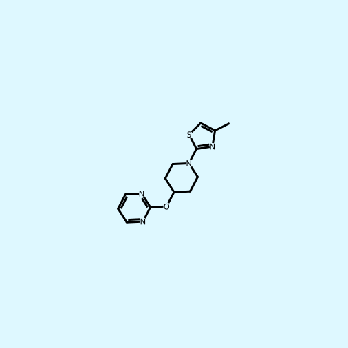 Cc1csc(N2CCC(Oc3ncccn3)CC2)n1